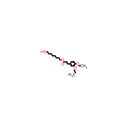 CCCOc1cc(/C=C/C(=O)OCCCCCCCCO)ccc1OCC